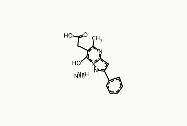 Cc1nc2cc(-c3ccccc3)nn2c(O)c1CC(=O)O.[NaH].[NaH]